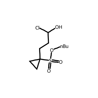 CCCCOS(=O)(=O)C1(CCC(O)Cl)CC1